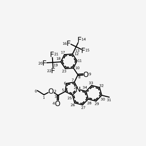 CCOC(=O)c1cc(C(=O)c2cc(C(F)(F)F)cc(C(F)(F)F)c2)n2c1ccc1cc(C)ccc12